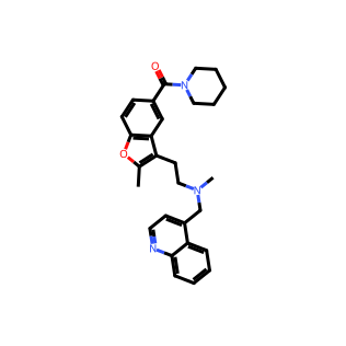 Cc1oc2ccc(C(=O)N3CCCCC3)cc2c1CCN(C)Cc1ccnc2ccccc12